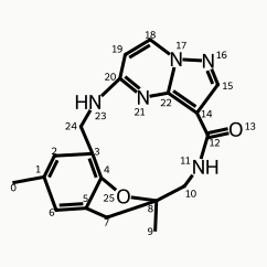 Cc1cc2c3c(c1)CC(C)(CNC(=O)c1cnn4ccc(nc14)NC2)O3